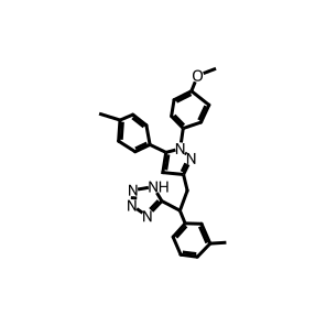 COc1ccc(-n2nc(CC(c3cccc(C)c3)c3nnn[nH]3)cc2-c2ccc(C)cc2)cc1